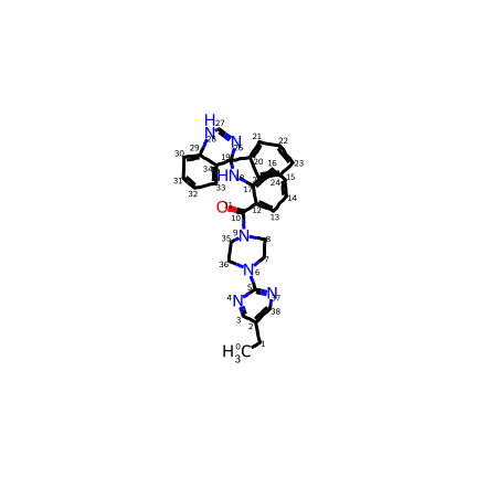 CCc1cnc(N2CCN(C(=O)c3ccccc3NC3(c4ccccc4)N=CNc4ccccc43)CC2)nc1